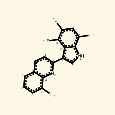 Fc1cc(F)c2[nH]cc(-c3ccc4cccc(F)c4n3)c2c1F